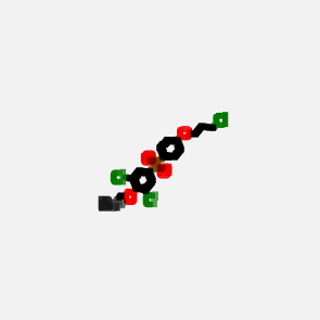 CC[C@H](C)COc1c(Cl)cc(S(=O)(=O)c2ccc(OCCCCl)cc2)cc1Cl